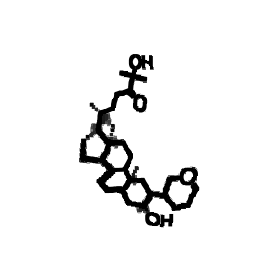 C[C@H](CCC(=O)C(C)(C)O)[C@H]1CCC2C3=CC=C4C[C@@H](O)C(C5CCCOC5)C[C@]4(C)C3CC[C@@]21C